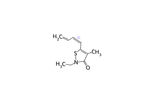 C=C/C=C\c1sn(CC)c(=O)c1C